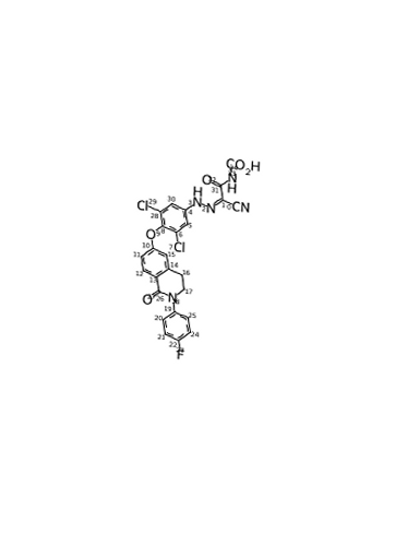 N#CC(=NNc1cc(Cl)c(Oc2ccc3c(c2)CCN(c2ccc(F)cc2)C3=O)c(Cl)c1)C(=O)NC(=O)O